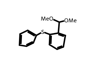 COC(OC)c1ccccc1Sc1ccccc1